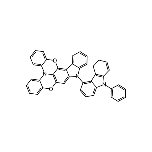 C1=Cc2c(c3c(-n4c5ccccc5c5c6c7c(cc54)Oc4ccccc4N7c4ccccc4O6)cccc3n2-c2ccccc2)CC1